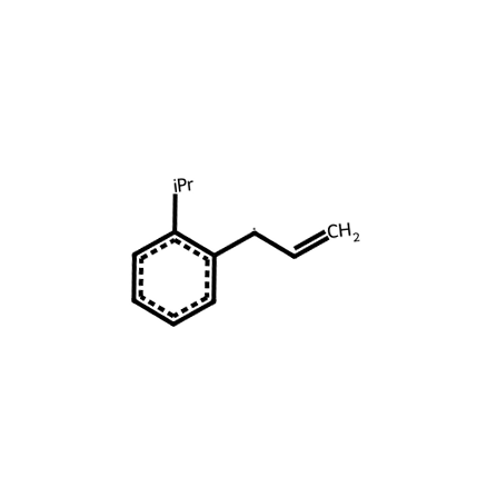 C=C[CH]c1ccccc1C(C)C